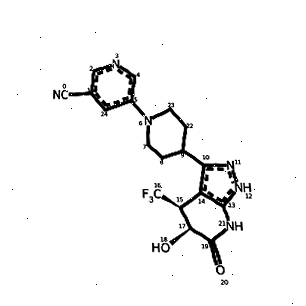 N#Cc1cncc(N2CCC(c3n[nH]c4c3[C@H](C(F)(F)F)[C@H](O)C(=O)N4)CC2)c1